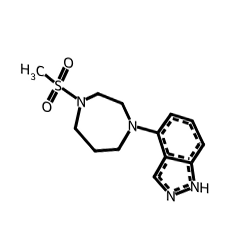 CS(=O)(=O)N1CCCN(c2cccc3[nH]ncc23)CC1